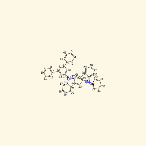 c1ccc(-c2cc(-c3ccccc3)cc(-n3c4ccccc4c4cc5c(cc43)c3cccc4c6ccccc6n5c43)c2)cc1